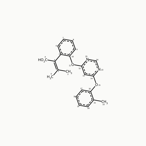 CC(C)=C(C(=O)O)c1ccccc1Oc1cc(Oc2ccccc2C)ncn1